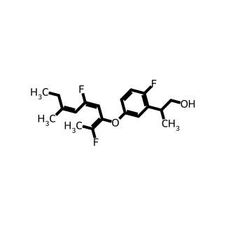 CC\C(C)=C/C(F)=C\C(Oc1ccc(F)c(C(C)CO)c1)=C(/C)F